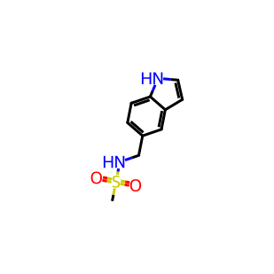 CS(=O)(=O)NCc1ccc2[nH]ccc2c1